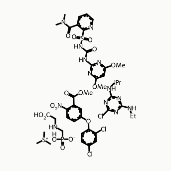 CCNc1nc(Cl)nc(NC(C)C)n1.COC(=O)c1cc(Oc2ccc(Cl)cc2Cl)ccc1[N+](=O)[O-].COc1cc(OC)nc(NC(=O)NS(=O)(=O)c2ncccc2C(=O)N(C)C)n1.C[S+](C)C.O=C(O)CNCP(=O)([O-])O